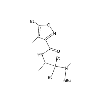 CCCCN(C)C(CC)(CC)C(C)NC(=O)c1noc(CC)c1C